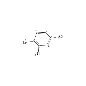 [Li][c]1ccc(Cl)cc1Cl